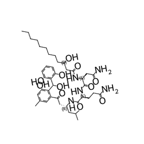 CCCCCCCCC[C@@H](O)CC(=O)N[C@@H](CC(N)=O)C(=O)N[C@@H](CCC(N)=O)C(=O)N[C@@H](CC(=O)c1cc(C)cc(O)c1C(O)c1c(O)cccc1O)CC(C)C